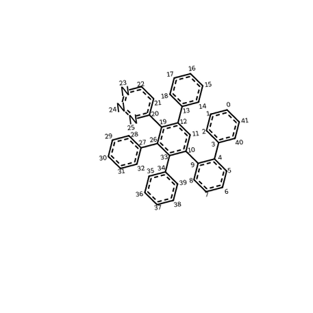 c1ccc(-c2ccccc2-c2cc(-c3ccccc3)c(-c3ccnnn3)c(-c3ccccc3)c2-c2ccccc2)cc1